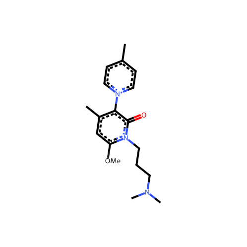 COc1cc(C)c(-[n+]2ccc(C)cc2)c(=O)n1CCCN(C)C